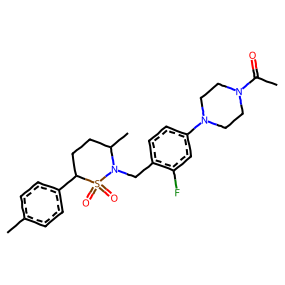 CC(=O)N1CCN(c2ccc(CN3C(C)CCC(c4ccc(C)cc4)S3(=O)=O)c(F)c2)CC1